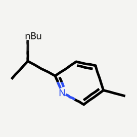 CCCCC(C)c1ccc(C)cn1